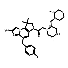 C[C@@H]1CN(CC(=O)N2CC(C)(C)c3c2cc(Cc2ccc(F)cc2)c2nc(C(F)(F)F)cn32)[C@@H](CN2CCOC[C@H]2C)CN1